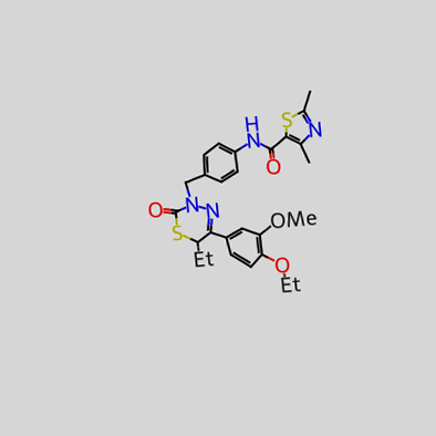 CCOc1ccc(C2=NN(Cc3ccc(NC(=O)c4sc(C)nc4C)cc3)C(=O)SC2CC)cc1OC